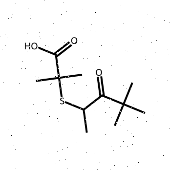 CC(SC(C)(C)C(=O)O)C(=O)C(C)(C)C